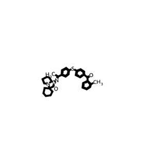 C/C(=N\OC(=O)C1(N2CCCCC2)CCCCC1)c1ccc(Sc2ccc(C(=O)c3ccccc3C)cc2)cc1